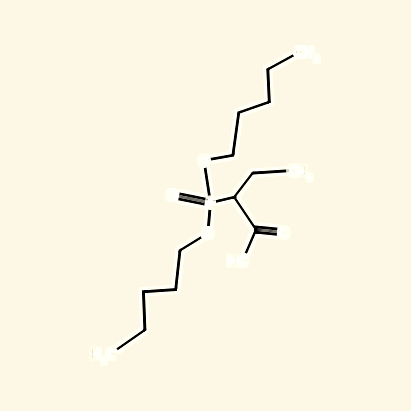 CCCCCOP(=O)(OCCCCC)C(CC)C(=O)O